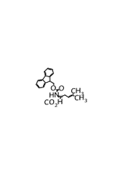 CC(C)=CC[C@H](NC(=O)OCC1c2ccccc2-c2ccccc21)C(=O)O